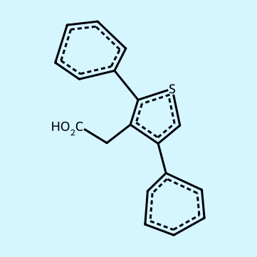 O=C(O)Cc1c(-c2ccccc2)csc1-c1ccccc1